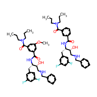 CCCN(CCC)C(=O)c1cc(OC)cc(C(=O)N[C@@H](Cc2cc(F)cc(F)c2)[C@H](O)CNCc2ccccc2)c1.CCCN(CCC)C(=O)c1cccc(C(=O)N[C@@H](Cc2cc(F)cc(F)c2)[C@H](O)CNCc2ccccc2)c1